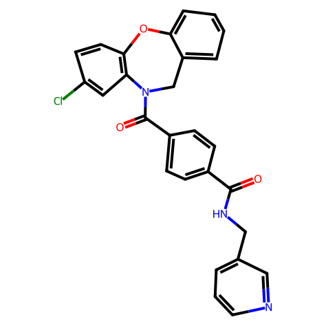 O=C(NCc1cccnc1)c1ccc(C(=O)N2Cc3ccccc3Oc3ccc(Cl)cc32)cc1